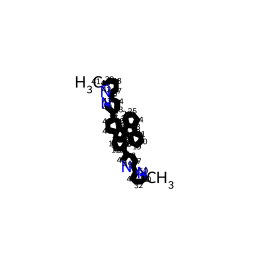 Cc1cccc(-c2ccc(-c3ccc4c(c3)C3(c5ccccc5-c5ccccc53)c3cc(-c5ccc(-c6cccc(C)n6)nc5)ccc3-4)cn2)n1